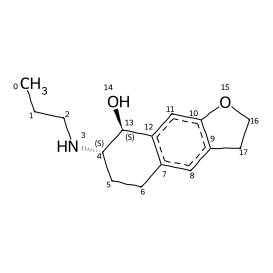 CCCN[C@H]1CCc2cc3c(cc2[C@@H]1O)OCC3